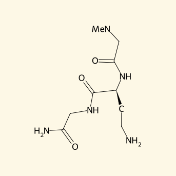 CNCC(=O)N[C@@H](CCN)C(=O)NCC(N)=O